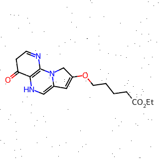 CCOC(=O)CCCCOC1=CC2=CNC3=C(N=CCC3=O)N2C1